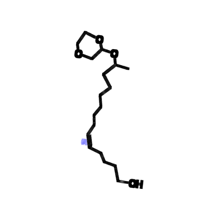 CC(CCCCCC/C=C\CCCCO)OC1COCCO1